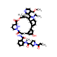 C=CC(=O)N1CCC(C(=O)N(C)c2ccccc2C(=O)N[C@H]2Cc3cc(O)cc(c3)-c3ccc4c(c3)c(c(-c3cnccc3COC)n4CC)CC(C)(C)COC(=O)[C@@H]3CCCN(N3)C2=O)C1